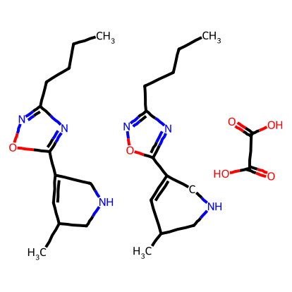 CCCCc1noc(C2=CC(C)CNC2)n1.CCCCc1noc(C2=CC(C)CNC2)n1.O=C(O)C(=O)O